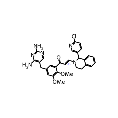 COc1cc(Cc2cnc(N)nc2N)cc(C(=O)/C=C/N2CCc3ccccc3C2c2ccc(Cl)nc2)c1OC